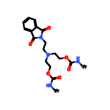 CC(C)NC(=O)OCCN(CCOC(=O)NC(C)C)CCN1C(=O)c2ccccc2C1=O